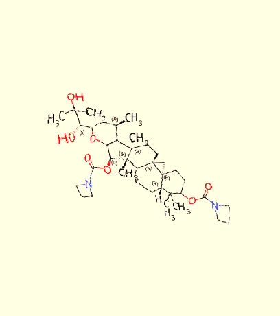 C[C@@H]1CC([C@H](O)C(C)(C)O)OC2C1[C@@]1(C)CC[C@@]34C[C@@]35CCC(OC(=O)N3CCC3)C(C)(C)[C@@H]5CCC4[C@]1(C)[C@H]2OC(=O)N1CCC1